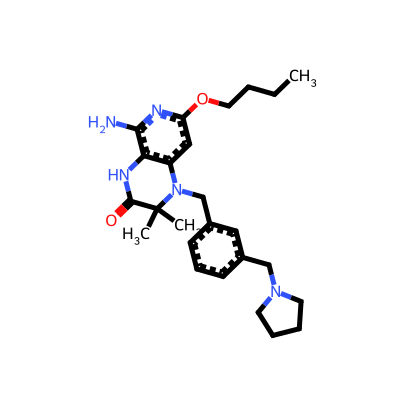 CCCCOc1cc2c(c(N)n1)NC(=O)C(C)(C)N2Cc1cccc(CN2CCCC2)c1